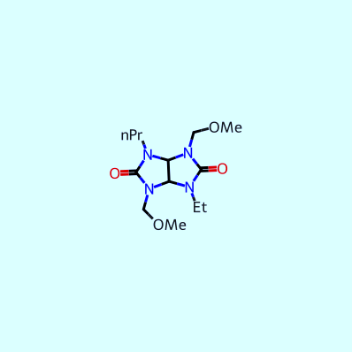 CCCN1C(=O)N(COC)C2C1N(COC)C(=O)N2CC